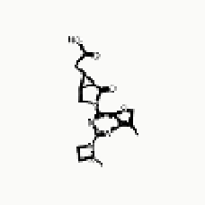 Cc1csc2c(N3CC4C(CC(=O)O)C4C3=O)nc(N3CC[C@@H]3C)nc12